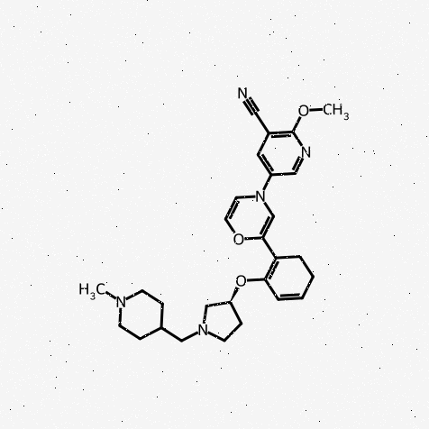 COc1ncc(N2C=COC(C3=C(O[C@H]4CCN(CC5CCN(C)CC5)C4)C=CCC3)=C2)cc1C#N